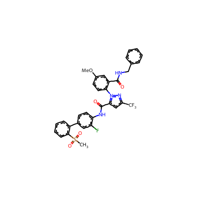 COc1ccc(-n2nc(C(F)(F)F)cc2C(=O)Nc2ccc(-c3ccccc3S(C)(=O)=O)cc2F)c(C(=O)NCc2ccccc2)c1